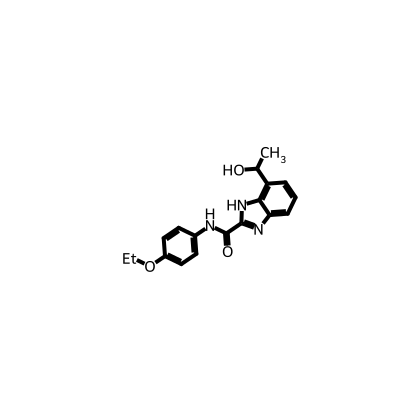 CCOc1ccc(NC(=O)c2nc3cccc(C(C)O)c3[nH]2)cc1